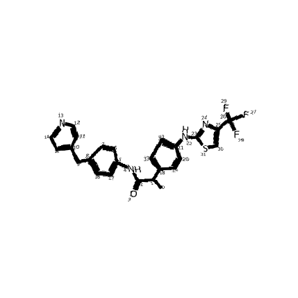 CC(C(=O)Nc1ccc(Cc2ccncc2)cc1)c1ccc(Nc2nc(C(F)(F)F)cs2)cc1